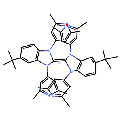 Cc1cc(N2/C(=C3/N(c4cc(C)nc(C)c4)c4ccc(C(C)(C)C)cc4N3c3cc(C)nc(C)c3)N(c3cc(C)nc(C)c3)c3cc(C(C)(C)C)ccc32)cc(C)n1